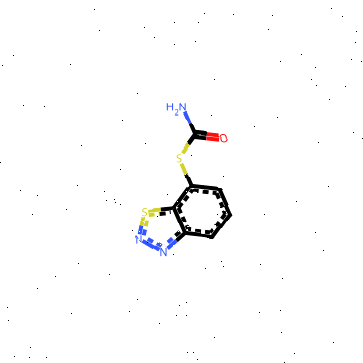 NC(=O)Sc1cccc2nnsc12